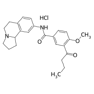 CCCC(=O)c1cc(C(=O)Nc2ccc3c(c2)C2CCCN2CC3)ccc1OC.Cl